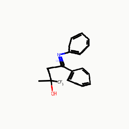 CC(O)(C/C(=N/c1ccccc1)c1ccccc1)C(F)(F)F